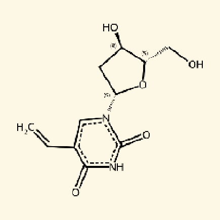 C=Cc1cn([C@@H]2C[C@@H](O)[C@H](CO)O2)c(=O)[nH]c1=O